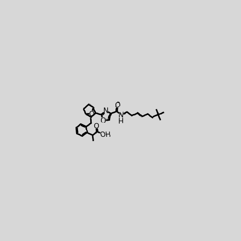 CC(C(=O)O)c1ccccc1CC1C2CCC(O2)C1c1nc(C(=O)NCCCCCCC(C)(C)C)co1